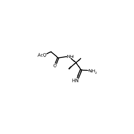 CC(=O)OCC(=O)NC(C)(C)C(=N)N